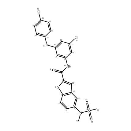 CN(c1ccc2sc(C(=O)Nc3cc(Cl)cc(Oc4ccc(Cl)cc4)c3)cc2c1)S(C)(=O)=O